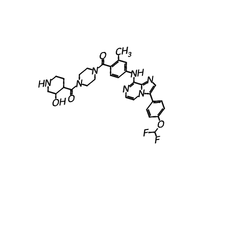 Cc1cc(Nc2nccn3c(-c4ccc(OC(F)F)cc4)cnc23)ccc1C(=O)N1CCN(C(=O)C2CCNCC2O)CC1